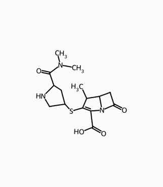 CC1C(SC2CNC(C(=O)N(C)C)C2)=C(C(=O)O)N2C(=O)CC12